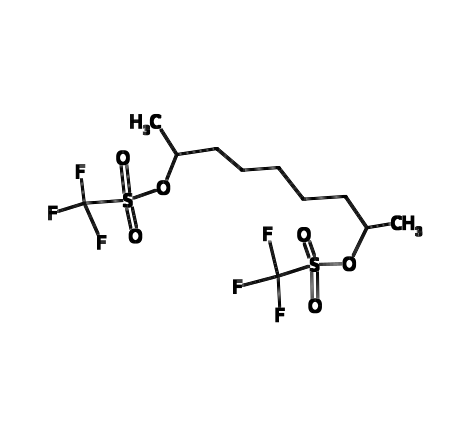 CC(CCCCCC(C)OS(=O)(=O)C(F)(F)F)OS(=O)(=O)C(F)(F)F